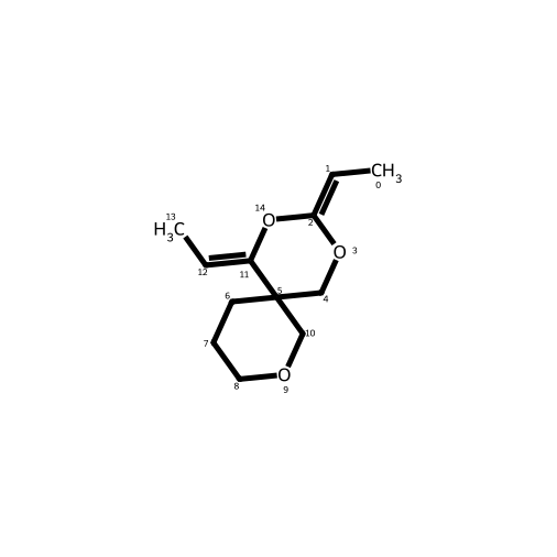 CC=C1OCC2(CCCOC2)C(=CC)O1